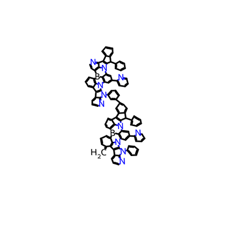 C=C1C=CC=C2B3c4c(cc(-c5ccccn5)cc4-n4c2c1c1c2cccnc2n(-c2ccccc2)c14)-n1c2c(c4cccc3c41)-c1cc(-c3cccc(-n4c5ncccc5c5c6cccc7c6n(c54)-c4cc(-c5ccccn5)cc5c4B7c4ccnc6c7c(n-5c46)C(c4ccccc4)c4ccccc4-7)c3)ccc1C2c1ccccc1